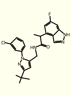 CC(C(=O)NCc1cc(C(C)(C)C)nn1-c1cccc(Cl)c1)c1cc(F)cc2[nH]ncc12